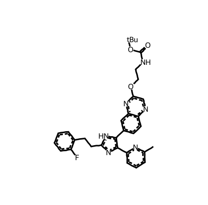 Cc1cccc(-c2nc(CCc3ccccc3F)[nH]c2-c2ccc3ncc(OCCNC(=O)OC(C)(C)C)nc3c2)n1